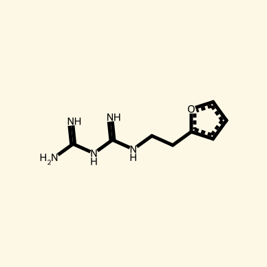 N=C(N)NC(=N)NCCc1ccco1